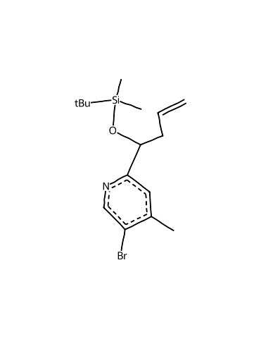 C=CCC(O[Si](C)(C)C(C)(C)C)c1cc(C)c(Br)cn1